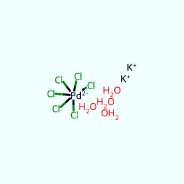 O.O.O.O.[Cl][Pd-2]([Cl])([Cl])([Cl])([Cl])[Cl].[K+].[K+]